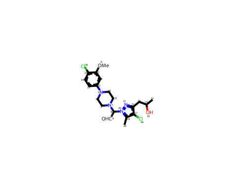 COc1cc(N2CCN(C(C=O)n3nc(CC(C)O)c(Cl)c3C)CC2)ccc1Cl